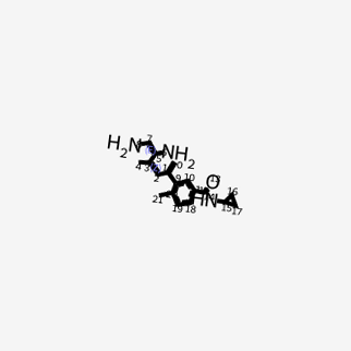 C=C(/C=C(C)\C(N)=C/N)c1cc(C(=O)NC2CC2)ccc1C